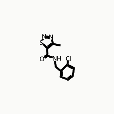 Cc1nnsc1C(=O)NCc1ccccc1Cl